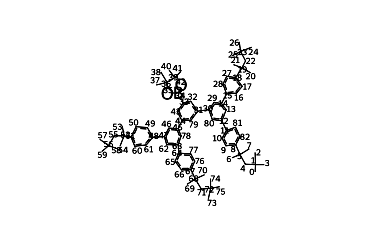 CC(C)(C)CC(C)(C)c1ccc(-c2cc(-c3ccc(C(C)(C)CC(C)(C)C)cc3)cc(-c3cc(B4OC(C)(C)C(C)(C)O4)cc(-c4cc(-c5ccc(C(C)(C)CC(C)(C)C)cc5)cc(-c5ccc(C(C)(C)CC(C)(C)C)cc5)c4)c3)c2)cc1